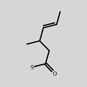 CC=CC(C)CC(=O)[S]